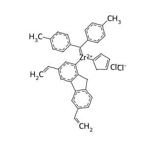 C=Cc1ccc2c(c1)-c1cc(C=C)c[c]([Zr+2]([C]3=CC=CC3)=[C](c3ccc(C)cc3)c3ccc(C)cc3)c1C2.[Cl-].[Cl-]